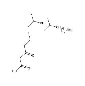 CC(C)O.CC(C)O.CCCC(=O)CC(=O)O.[AlH3].[AlH3]